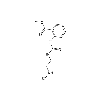 COC(=O)c1ccccc1OC(=O)NCCNCl